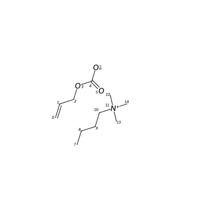 C=CCOC(=O)[O-].CCCC[N+](C)(C)C